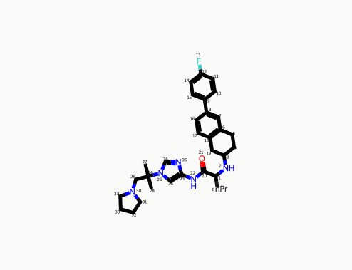 CCCC(NC1CCc2cc(-c3ccc(F)cc3)ccc2C1)C(=O)Nc1cn(C(C)(C)CN2CCCC2)cn1